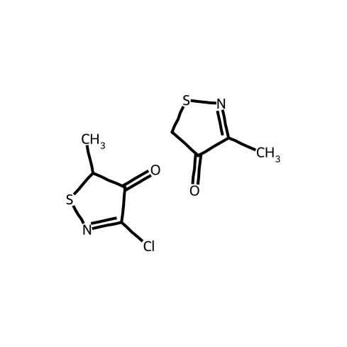 CC1=NSCC1=O.CC1SN=C(Cl)C1=O